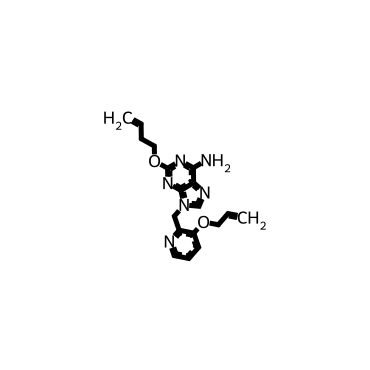 C=CCCOc1nc(N)c2ncn(Cc3ncccc3OCC=C)c2n1